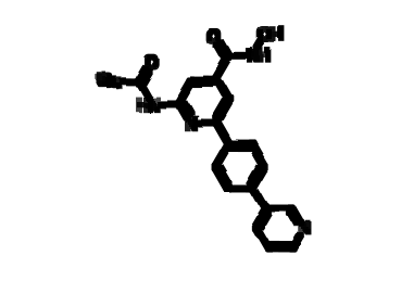 CC(C)(C)C(=O)Nc1cc(C(=O)NO)cc(-c2ccc(-c3cccnc3)cc2)n1